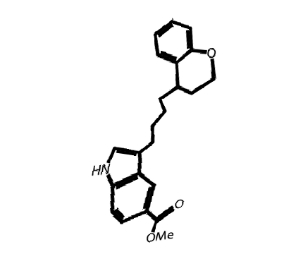 COC(=O)c1ccc2[nH]cc(CCCCC3CCOc4c[c]ccc43)c2c1